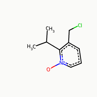 CC(C)c1c(CCl)ccc[n+]1[O-]